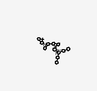 CC1(C)c2ccccc2-c2ccc(-n3c4ccccc4c4cc(-c5ccc6c7ccccc7n(-c7cccc(-c8nc(-c9ccc(-c%10ccccc%10)cc9)cc(-c9ccc(-c%10ccccc%10)cc9)n8)c7)c6c5)ccc43)cc21